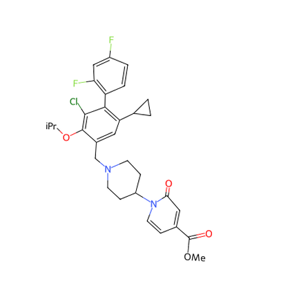 COC(=O)c1ccn(C2CCN(Cc3cc(C4CC4)c(-c4ccc(F)cc4F)c(Cl)c3OC(C)C)CC2)c(=O)c1